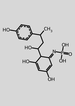 CC(CC(O)C1C(O)=CC(O)=CC1=NP(=O)(O)O)c1ccc(O)cc1